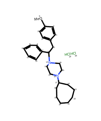 COc1ccc(CC(c2ccccc2)N2CCN(C3CCCCCCC3)CC2)cc1.Cl.Cl